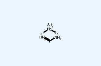 N=CN.[Cs].[I][Pb][I]